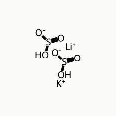 O=S([O-])O.O=S([O-])O.[K+].[Li+]